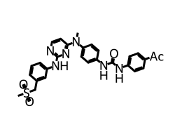 CC(=O)c1ccc(NC(=O)Nc2ccc(N(C)c3ccnc(Nc4cccc(CS(C)(=O)=O)c4)n3)cc2)cc1